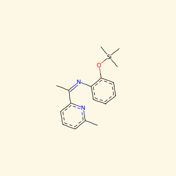 C/C(=N/c1ccccc1O[Si](C)(C)C)c1cccc(C)n1